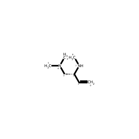 C=C[C@H](CN(C)C)NC